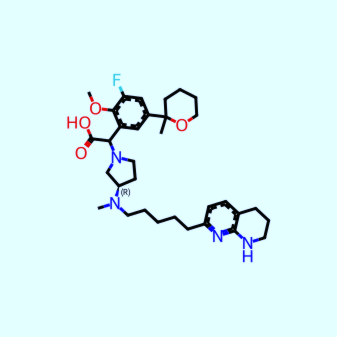 COc1c(F)cc(C2(C)CCCCO2)cc1C(C(=O)O)N1CC[C@@H](N(C)CCCCCc2ccc3c(n2)NCCC3)C1